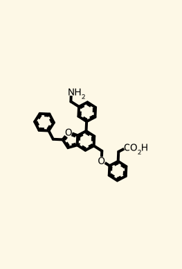 NCc1cccc(-c2cc(COc3ccccc3CC(=O)O)cc3cc(Cc4ccccc4)oc23)c1